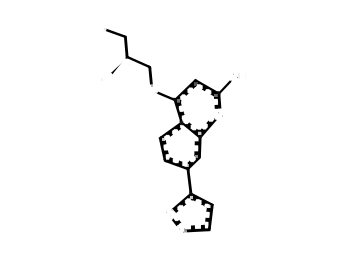 Nc1cc(OC[C@@H](O)CO)c2ccc(-c3ccn[nH]3)cc2n1